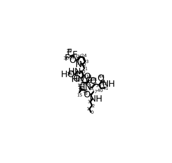 CCCCNC(=O)C[C@H](NC(=O)[C@H](CC(C)C)NC(=O)[C@H](Cc1cccc(OC(F)(F)F)n1)NC(=O)O)C(=O)[C@@H]1CCNC1=O